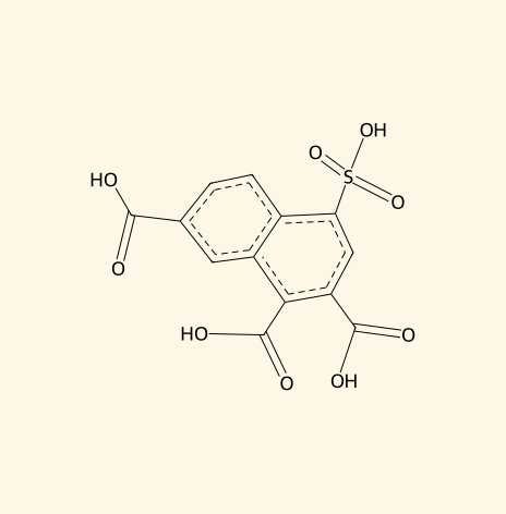 O=C(O)c1ccc2c(S(=O)(=O)O)cc(C(=O)O)c(C(=O)O)c2c1